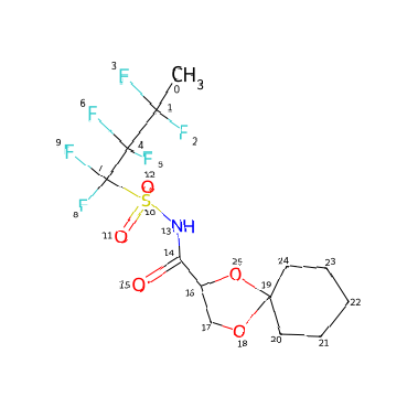 CC(F)(F)C(F)(F)C(F)(F)S(=O)(=O)NC(=O)C1COC2(CCCCC2)O1